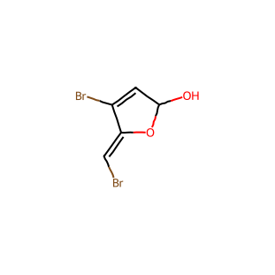 OC1C=C(Br)/C(=C/Br)O1